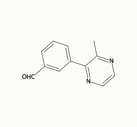 Cc1nccnc1-c1cccc(C=O)c1